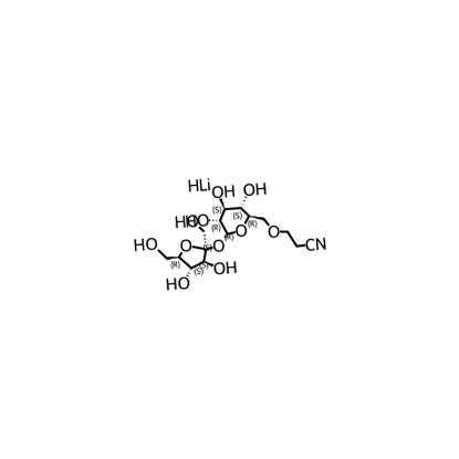 N#CCCOC[C@H]1O[C@H](O[C@]2(CO)O[C@H](CO)[C@@H](O)[C@@H]2O)[C@H](O)[C@@H](O)[C@@H]1O.[LiH]